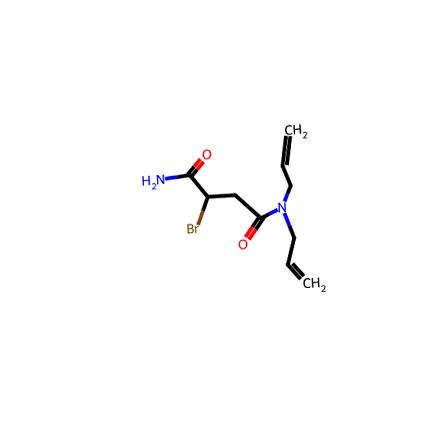 C=CCN(CC=C)C(=O)CC(Br)C(N)=O